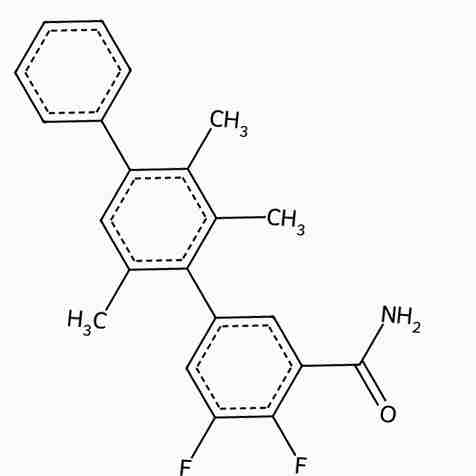 Cc1cc(-c2ccccc2)c(C)c(C)c1-c1cc(F)c(F)c(C(N)=O)c1